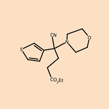 CCOC(=O)CCC(C#N)(c1ccsc1)N1CCOCC1